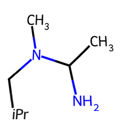 CC(C)CN(C)C(C)N